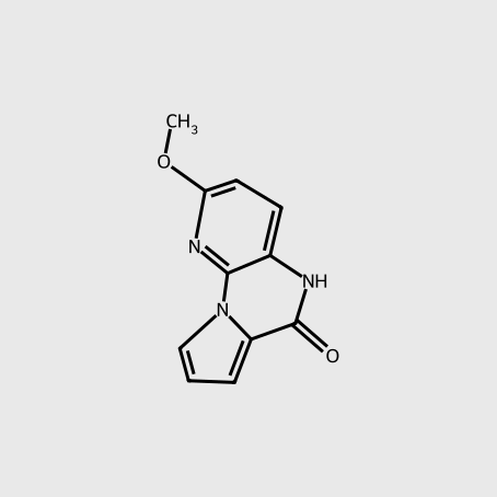 COc1ccc2[nH]c(=O)c3cccn3c2n1